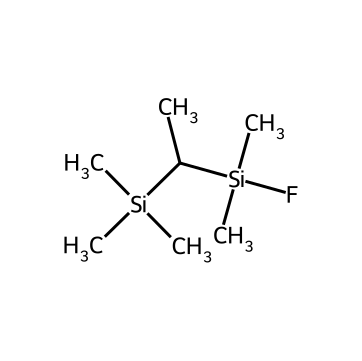 CC([Si](C)(C)C)[Si](C)(C)F